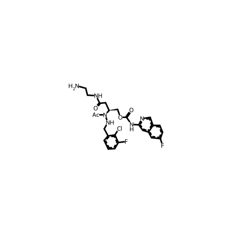 CC(=O)N(NCc1cccc(F)c1Cl)[C@H](COC(=O)Nc1cc2cc(F)ccc2cn1)CC(=O)NCCN